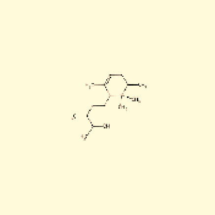 CC1=CCC(C)C(C)(C)C1C=CC(C)C(C)O